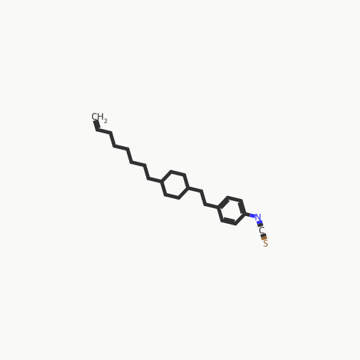 C=CCCCCCCC1CCC(CCc2ccc(N=C=S)cc2)CC1